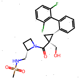 CS(=O)(=O)NC[C@@H]1CCN1C(=O)[C@@]1(CO)C[C@@H]1c1ccccc1-c1c(F)cccc1F